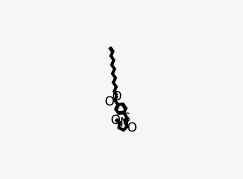 C=CCCCCCCCCCOC(=O)c1ccc(SN2C(=O)CCC2=O)cc1